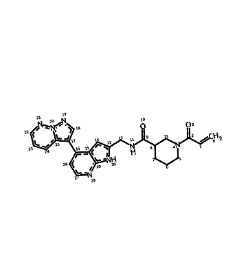 C=CC(=O)N1CCCC(C(=O)NCc2cc3c(-c4cnn5ncccc45)ccnc3[nH]2)C1